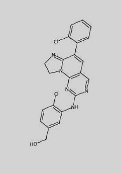 OCc1ccc(Cl)c(Nc2ncc3c(n2)N2CCN=C2C(c2ccccc2Cl)=C3)c1